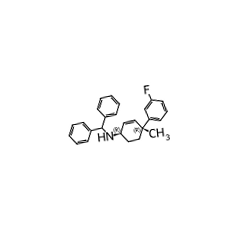 C[C@]1(c2cccc(F)c2)C=C[C@H](NC(c2ccccc2)c2ccccc2)CC1